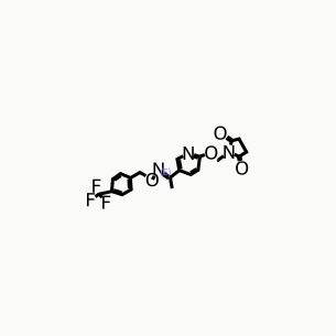 C/C(=N\OCc1ccc(C(F)(F)F)cc1)c1ccc(OCN2C(=O)CCC2=O)nc1